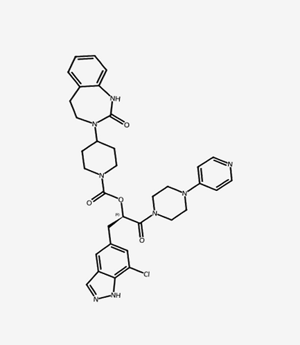 O=C(O[C@H](Cc1cc(Cl)c2[nH]ncc2c1)C(=O)N1CCN(c2ccncc2)CC1)N1CCC(N2CCc3ccccc3NC2=O)CC1